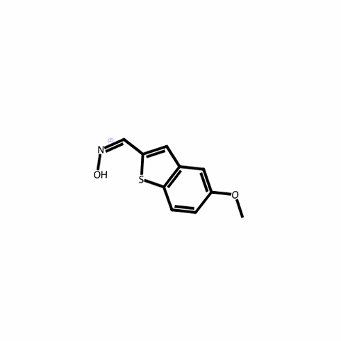 COc1ccc2sc(/C=N\O)cc2c1